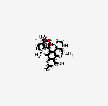 C[C@H](Oc1c(Cl)c(-c2c(F)ccc3cnn(C)c23)c(F)c2nc(Cl)nc(O)c12)[C@H]1NCCN(C(=O)OC(C)(C)C)[C@H]1C